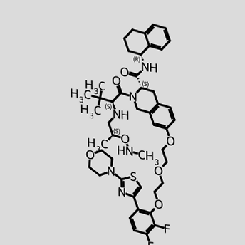 CNO[C@@H](C)CN[C@H](C(=O)N1Cc2cc(OCCOCCOc3c(-c4csc(N5CCOCC5)n4)ccc(F)c3F)ccc2C[C@H]1C(=O)N[C@@H]1CCCc2ccccc21)C(C)(C)C